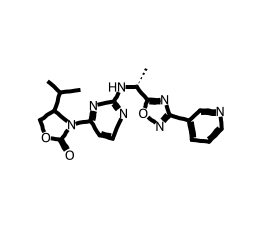 CC(C)C1COC(=O)N1c1ccnc(N[C@H](C)c2nc(-c3cccnc3)no2)n1